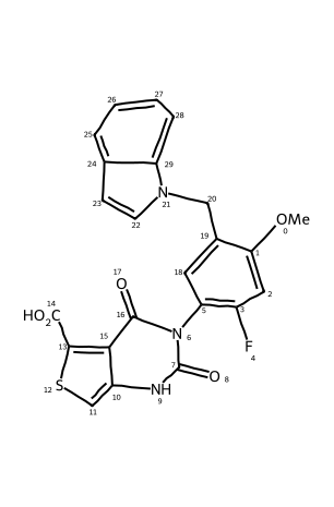 COc1cc(F)c(-n2c(=O)[nH]c3csc(C(=O)O)c3c2=O)cc1Cn1ccc2ccccc21